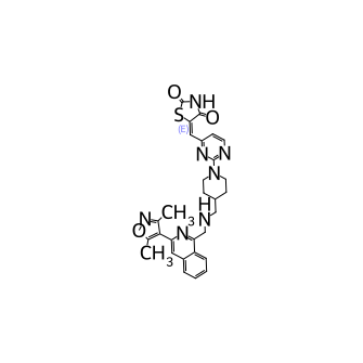 Cc1noc(C)c1-c1cc2ccccc2c(CNCC2CCN(c3nccc(/C=C4/SC(=O)NC4=O)n3)CC2)n1